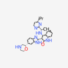 CC(C)c1ccnc(C(C)Nc2c(-c3nc4ccc([C@H]5CNCCO5)cc4[nH]3)c(=O)[nH]c3ccccc23)n1